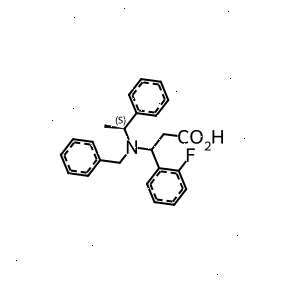 C[C@@H](c1ccccc1)N(Cc1ccccc1)C(CC(=O)O)c1ccccc1F